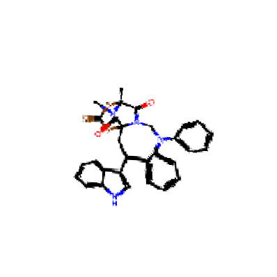 CN1C(=O)C23CC(c4c[nH]c5ccccc45)c4ccccc4N(c4ccccc4)CN2C(=O)[C@@]1(C)SC(=S)S3